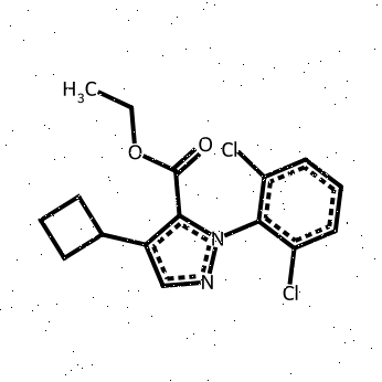 CCOC(=O)c1c(C2CCC2)cnn1-c1c(Cl)cccc1Cl